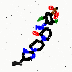 CCCCCCCCCCc1cnc(N2CCC(N3CCC[C@H](Nc4cc(F)c(S(C)(=O)=O)cc4F)C3=O)CC2)nc1